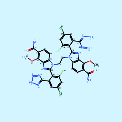 COc1c(C(N)=O)ccc2c1nc(-c1c(F)cc(Cl)cc1/C(N=N)=N/N)n2CCn1c(-c2c(F)cc(Cl)cc2-c2nn[nH]n2)nc2c(OC)c(C(N)=O)ccc21